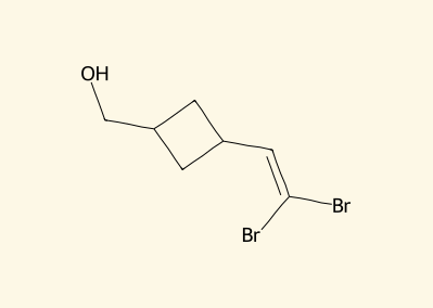 OCC1CC(C=C(Br)Br)C1